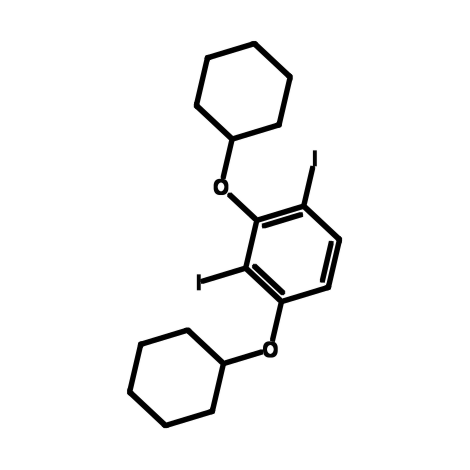 Ic1ccc(OC2CCCCC2)c(I)c1OC1CCCCC1